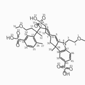 COCCN1/C(=C/C=C/C(C)C(C)(CCOC)c2cc(S(=O)(=O)O)ccc2C)C(C)(CCCCS(=O)(=O)O)c2cc(S(=O)(=O)O)ccc21